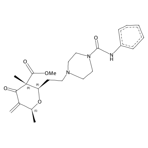 C=C1C(=O)[C@](C)(C(=O)OC)[C@@H](CCN2CCN(C(=O)Nc3ccccc3)CC2)O[C@H]1C